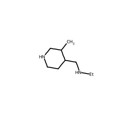 CCNCC1CCNCC1C